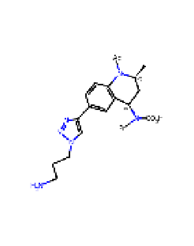 CC(=O)N1c2ccc(-c3cn(CCCN)nn3)cc2[C@H](N(C(=O)O)C(C)C)C[C@@H]1C